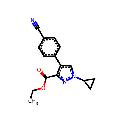 CCOC(=O)c1nn(C2CC2)cc1-c1ccc(C#N)cc1